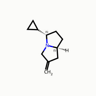 C=C1C[C@@H]2CC[C@@H](C3CC3)N2C1